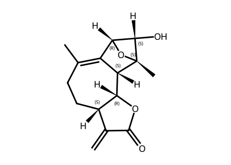 C=C1C(=O)O[C@@H]2[C@H]1CCC(C)=C1[C@H]3O[C@](C)([C@H]3O)[C@@H]12